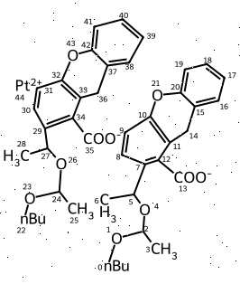 CCCCOC(C)OC(C)c1ccc2c(c1C(=O)[O-])Cc1ccccc1O2.CCCCOC(C)OC(C)c1ccc2c(c1C(=O)[O-])Cc1ccccc1O2.[Pt+2]